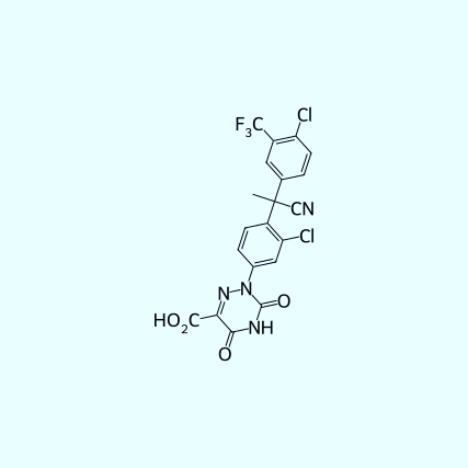 CC(C#N)(c1ccc(Cl)c(C(F)(F)F)c1)c1ccc(-n2nc(C(=O)O)c(=O)[nH]c2=O)cc1Cl